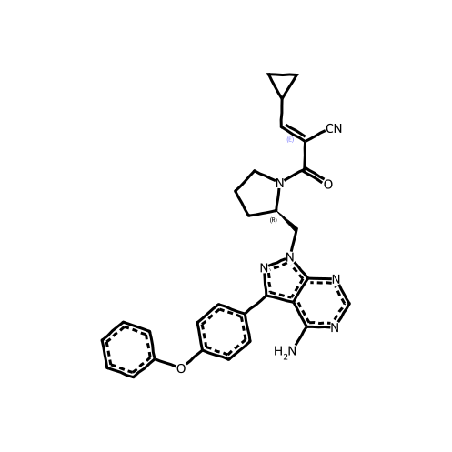 N#C/C(=C\C1CC1)C(=O)N1CCC[C@@H]1Cn1nc(-c2ccc(Oc3ccccc3)cc2)c2c(N)ncnc21